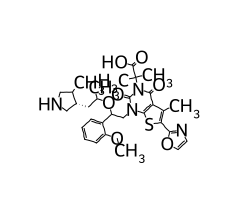 COc1ccccc1C(Cn1c(=O)n(C(C)(C)C(=O)O)c(=O)c2c(C)c(-c3ncco3)sc21)OC(C)C[C@@H]1CNCC1C